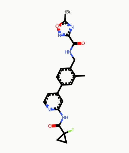 Cc1cc(-c2ccnc(NC(=O)C3(F)CC3)c2)ccc1CNC(=O)c1noc(C(C)(C)C)n1